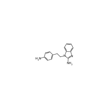 Nc1ccc(CCn2c(N)nc3ccccc32)cc1